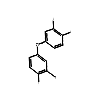 Ic1ccc(Oc2ccc(I)c(I)c2)cc1I